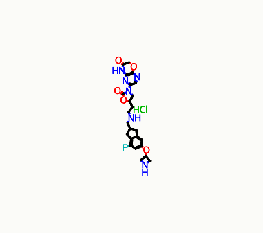 Cl.O=C1COc2ncc(N3CC(CCNCC4Cc5cc(OC6CNC6)cc(F)c5C4)OC3=O)nc2N1